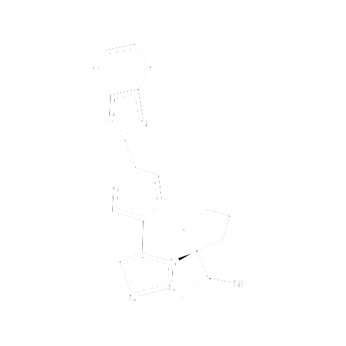 NC(=O)[C@@]1(n2nncc2-c2ccc(-c3nc4ccccc4o3)cc2)C[CH]CC1